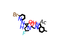 CC(=O)c1nn(CC(=O)N2C[C@H](F)CC23C(Nc2cccc(Br)n2)[C@H]3O)c2ccc(C)cc12